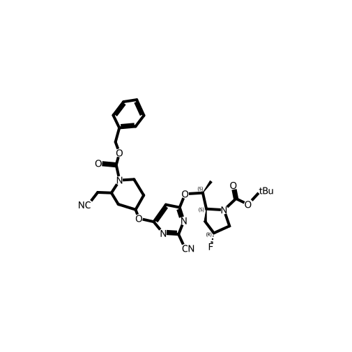 C[C@H](Oc1cc(OC2CCN(C(=O)OCc3ccccc3)C(CC#N)C2)nc(C#N)n1)[C@@H]1C[C@@H](F)CN1C(=O)OC(C)(C)C